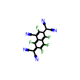 N#CC1=C(F)C(C(C#N)C#N)C(F)=c2c(F)c(F)c(=C(C#N)C#N)c(F)c21